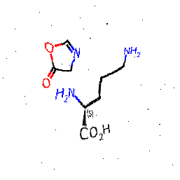 NCCC[C@H](N)C(=O)O.O=C1CN=CO1